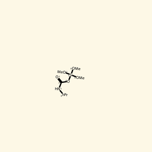 CCCNC(=O)O[Si](OC)(OC)OC